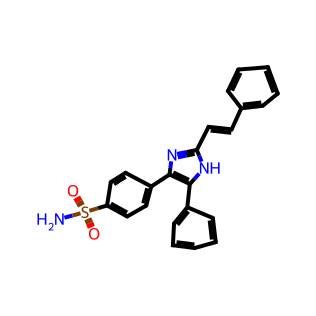 NS(=O)(=O)c1ccc(-c2nc(C=Cc3ccccc3)[nH]c2-c2ccccc2)cc1